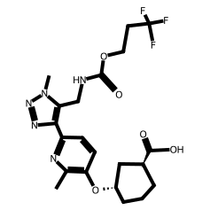 Cc1nc(-c2nnn(C)c2CNC(=O)OCCC(F)(F)F)ccc1O[C@H]1CCC[C@H](C(=O)O)C1